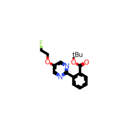 CC(C)(C)OC(=O)c1ccccc1-c1ncc(OCCF)cn1